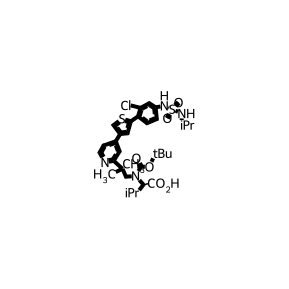 CC(C)NS(=O)(=O)Nc1ccc(-c2cc(-c3ccnc(C(C)(C)CN(C(=O)OC(C)(C)C)[C@H](C(=O)O)C(C)C)c3)cs2)c(Cl)c1